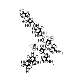 Nc1ncnc2c1ncn2[C@@H]1O[C@H](CO)[C@@H](O)[C@H]1O.Nc1ncnc2c1ncn2[C@@H]1O[C@H](COP(=O)(O)O)[C@@H](O)[C@H]1O.O=c1[nH]c(=O)c2[nH]c(=O)[nH]c2[nH]1.O=c1[nH]c(=O)c2[nH]cnc2[nH]1.O=c1[nH]cnc2nc[nH]c12.OC[C@H]1O[C@@H](n2cnc3c(O)ncnc32)[C@H](O)[C@@H]1O